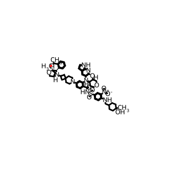 CC(C)c1ccccc1[C@@H]1[C@H]2C[C@H](CO2)N1C1CC2(CCN(c3ccc(C(=O)NS(=O)(=O)c4ccc(NCC5CCC(C)(O)CC5)c([N+](=O)[O-])c4)c(N4c5cc6cc[nH]c6nc5O[C@H]5COCC[C@@H]54)c3)CC2)C1